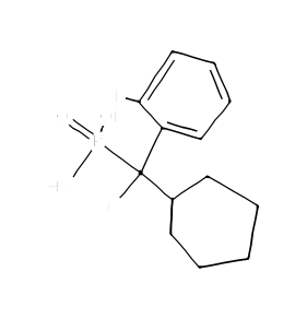 O=P(O)(O)C(c1ccccc1F)(C1CCCCC1)C(F)(F)F